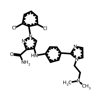 CN(C)CCn1ccnc1-c1ccc(Nc2cn(-c3c(Cl)cccc3Cl)nc2C(N)=O)cc1